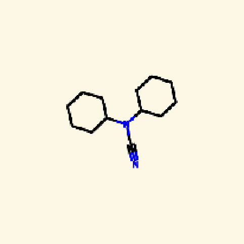 N#CN(C1CCCCC1)C1CCCCC1